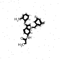 CCC(=O)Nc1ccc2c(Sc3ccccc3N)cn(Cc3cc(F)cc(F)c3)c2c1